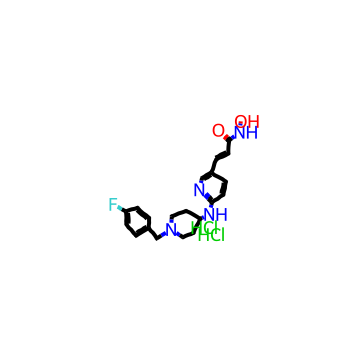 Cl.Cl.O=C(/C=C/c1ccc(NC2CCN(Cc3ccc(F)cc3)CC2)nc1)NO